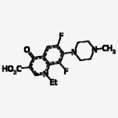 CCn1cc(C(=O)O)c(=O)c2cc(F)c(N3CCN(C)CC3)c(F)c21